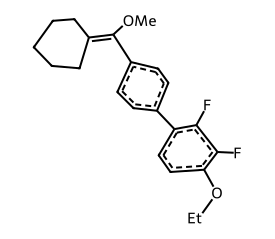 CCOc1ccc(-c2ccc(C(OC)=C3CCCCC3)cc2)c(F)c1F